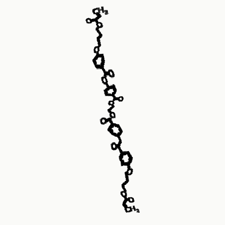 C=CC(=O)OCCCCOc1ccc(C(=O)Cc2ccc(C(=O)OCCOC(=O)c3ccc(OC(=O)c4ccc(OCCCCOC(=O)C=C)cc4)cc3)cc2)cc1